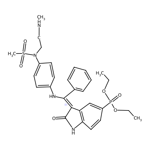 CCOP(=O)(OCC)c1ccc2c(c1)/C(=C(/Nc1ccc(N(CCNC)S(C)(=O)=O)cc1)c1ccccc1)C(=O)N2